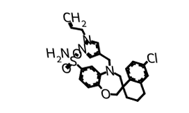 C=CCn1cc(CN2CC3(CCCc4cc(Cl)ccc43)COc3ccc(S(N)(=O)=O)cc32)cn1